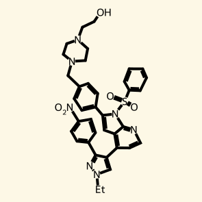 CCn1cc(-c2ccnc3c2cc(-c2ccc(CN4CCN(CCO)CC4)cc2)n3S(=O)(=O)c2ccccc2)c(-c2ccc([N+](=O)[O-])cc2)n1